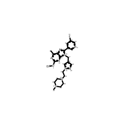 CCOc1nc(C)c2nc(-c3cncc(F)c3)n(Cc3cnn(CCN4CCN(C)CC4)c3)c2n1